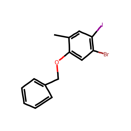 Cc1cc(I)c(Br)cc1OCc1ccccc1